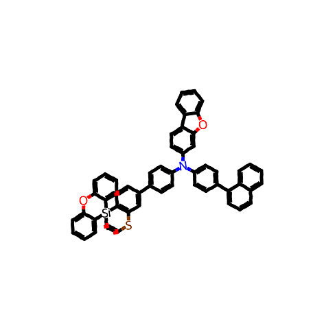 c1ccc2c(c1)Oc1ccccc1[Si]21c2ccccc2Sc2cc(-c3ccc(N(c4ccc(-c5cccc6ccccc56)cc4)c4ccc5c(c4)oc4ccccc45)cc3)ccc21